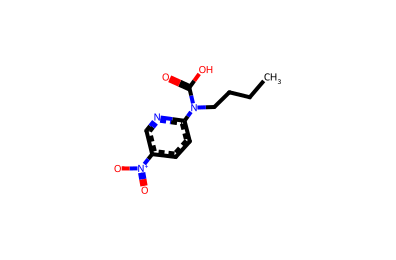 CCCCN(C(=O)O)c1ccc([N+](=O)[O-])cn1